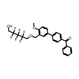 COc1ccc(-c2ccc(C(=O)c3ccccc3)cc2)cc1COCC(F)(F)C(F)(F)C(F)(F)CO